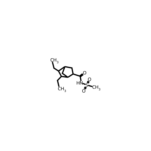 CCC1C2CC(C(=O)NS(C)(=O)=O)C(C2)C1CC